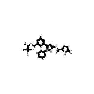 C[C@@H](OCc1cc(F)cc(-c2cc(NC(=O)[C@H]3CCC(=O)N3)nn2-c2ccccc2)c1)C(F)(F)F